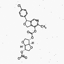 Cc1ncc2c(c1OC(=O)O[C@H]1CO[C@H]3[C@@H]1OC[C@@H]3O[N+](=O)[O-])COC2c1ccc(Cl)cc1